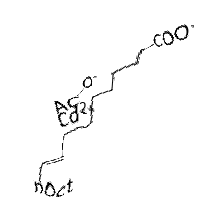 CC(=O)[O-].CCCCCCCCC=CCCCCCCCC(=O)[O-].[Cd+2]